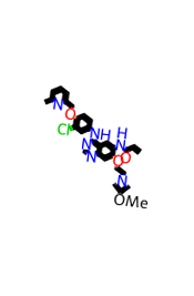 C=CC(=O)Nc1cc2c(Nc3ccc(OCc4cccc(C)n4)c(Cl)c3)ncnc2cc1OCCN1CC(OC)C1